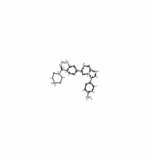 COc1cc(-c2cn3c(-c4ccc(N)cc4)cnc3cn2)ccc1C(=O)N1CCNCC1